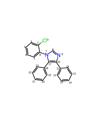 Clc1ccccc1-n1[c]nc(-c2ccccc2)c1-c1ccccc1